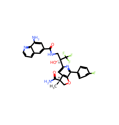 C[C@]1(C(N)=O)COc2c1cc([C@@](O)(CNC(=O)c1cc(N)c3ncccc3c1)C(F)(F)F)nc2-c1ccc(F)cc1